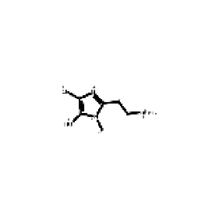 CCCCCCCc1nc(Cl)c(O)n1C